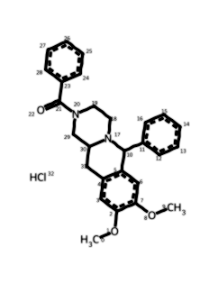 COc1cc2c(cc1OC)C(c1ccccc1)N1CCN(C(=O)c3ccccc3)CC1C2.Cl